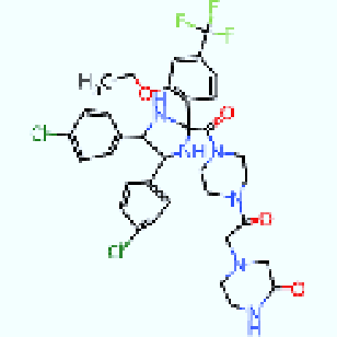 CCOc1cc(C(F)(F)F)ccc1C1(C(=O)N2CCN(C(=O)CN3CCNC(=O)C3)CC2)NC(c2ccc(Cl)cc2)C(c2ccc(Cl)cc2)N1